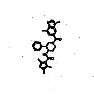 Cc1nn(C)c(C(=O)N[C@@H]2CCN(C(=O)c3cc(C)c4ncc(C)n4c3)C[C@@H]2c2ccccc2)c1C